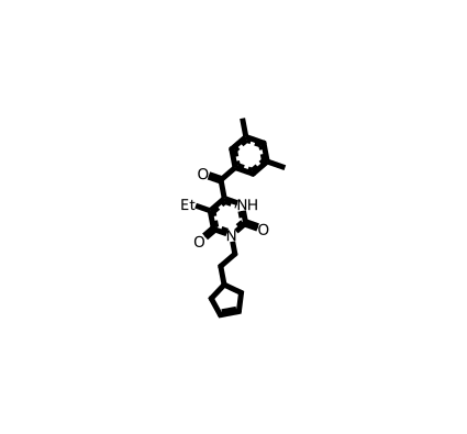 CCc1c(C(=O)c2cc(C)cc(C)c2)[nH]c(=O)n(CCC2CC=CC2)c1=O